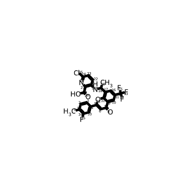 Cc1ccc(-c2cc(=O)c3cc(C(F)(F)F)cc(C(C)Nc4ccc(Cl)nc4C(=O)O)c3o2)cc1F